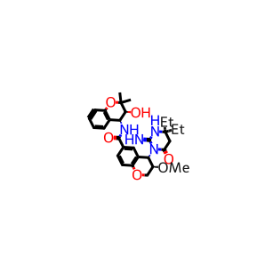 CCC1(CC)CC(=O)N([C@H]2c3cc(C(=O)N[C@@H]4c5ccc#cc5OC(C)(C)[C@H]4O)ccc3OC[C@@H]2OC)C(=N)N1